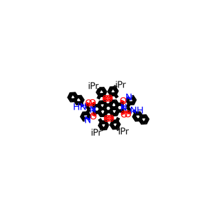 Cc1cc(C(C)C)ccc1Oc1cc2c3c(cc(Oc4ccc(C(C)C)cc4C)c4c5c(Oc6ccc(C(C)C)cc6C)cc6c7c(cc(Oc8ccc(C(C)C)cc8C)c(c1c34)c75)C(=O)N(C(C(=O)Nc1ccc3ccccc3c1)c1cccnc1)C6=O)C(=O)N(C(C(=O)Nc1ccc3ccccc3c1)c1cccnc1)C2=O